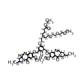 C/C=C1\CC2C=Nc3cc(OCC4C=C(OCCN(CCCC(=O)OCC)CCOCCOCCOC)C=C(COc5cc6c(cc5OC)C(=O)N5C/C(=C/C)C[C@H]5C=N6)N4)c(OC)cc3C(=O)N2C1